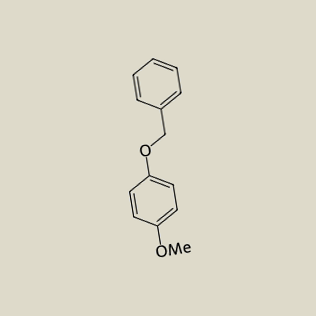 COc1ccc(OCc2ccccc2)cc1